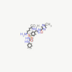 Cc1cnc(C(=O)NCCc2ccc(S(=O)(=O)NC(=O)NC3CCCCC3)cc2)cn1.NCCCCC(N)C(=O)O